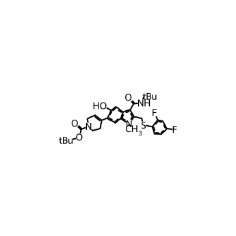 Cn1c(CSc2ccc(F)cc2F)c(C(=O)NC(C)(C)C)c2cc(O)c(C3=CCN(C(=O)OC(C)(C)C)CC3)cc21